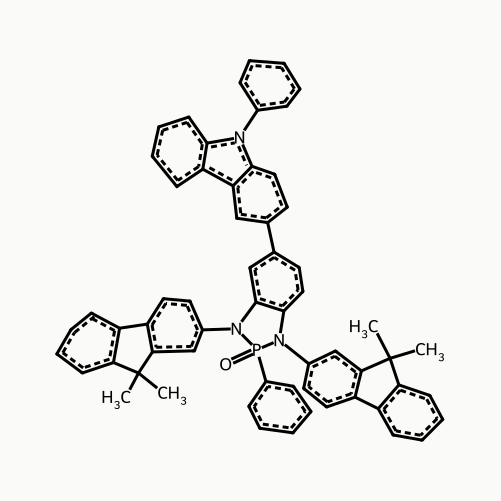 CC1(C)c2ccccc2-c2ccc(N3c4ccc(-c5ccc6c(c5)c5ccccc5n6-c5ccccc5)cc4N(c4ccc5c(c4)C(C)(C)c4ccccc4-5)P3(=O)c3ccccc3)cc21